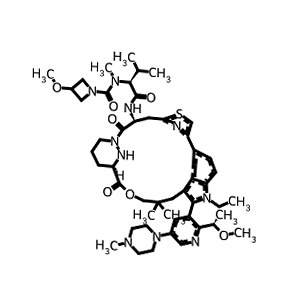 CCn1c(-c2cc(N3CCN(C)CC3)cnc2[C@H](C)OC)c2c3cc(ccc31)-c1csc(n1)C[C@H](NC(=O)[C@H](C(C)C)N(C)C(=O)N1CC(OC)C1)C(=O)N1CCC[C@H](N1)C(=O)OCC(C)(C)C2